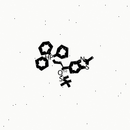 Cc1nc2cc([C@H](CC[PH](c3ccccc3)(c3ccccc3)c3ccccc3)O[Si](C)(C)C(C)(C)C)ccc2s1